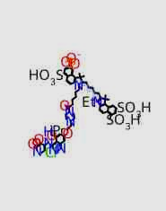 CC[N+]1=C(/C=C/C=C/C=C2\N(CCCCCC(=O)N3CCN(CCOc4cc(OC(C)C)c5c(Nc6c(Cl)cnc7c6OCO7)ncnc5c4)CC3)c3ccc4c(S(=O)(=O)O)cc(S(=O)(=O)[O-])cc4c3C2(C)C)C(C)(C)c2c1ccc1c(S(=O)(=O)O)cc(S(=O)(=O)O)cc21